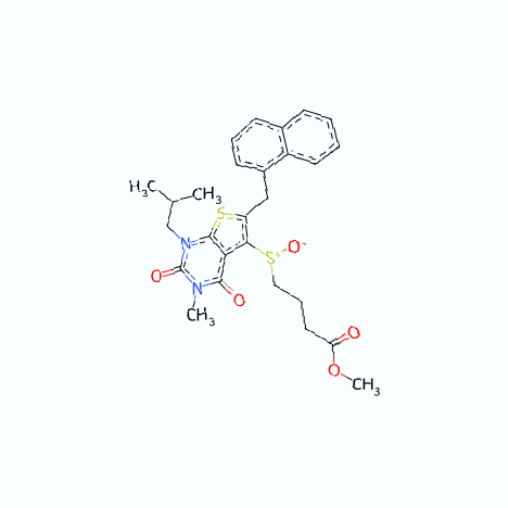 COC(=O)CCC[S+]([O-])c1c(Cc2cccc3ccccc23)sc2c1c(=O)n(C)c(=O)n2CC(C)C